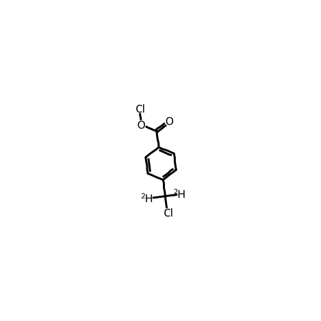 [2H]C([2H])(Cl)c1ccc(C(=O)OCl)cc1